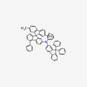 Cc1ccc2c(c1)C1(c3cc(C)ccc3-2)c2cc(N(c3ccccc3)c3ccc4c(c3)C(c3ccccc3)(c3ccccc3)c3ccccc3-4)ccc2-c2c(-c3ccccc3)cccc21